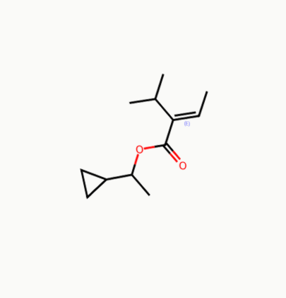 C/C=C(/C(=O)OC(C)C1CC1)C(C)C